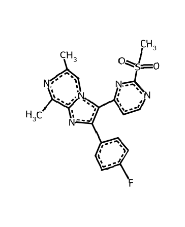 Cc1cn2c(-c3ccnc(S(C)(=O)=O)n3)c(-c3ccc(F)cc3)nc2c(C)n1